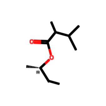 C[CH][C@H](C)OC(=O)C(C)C(C)C